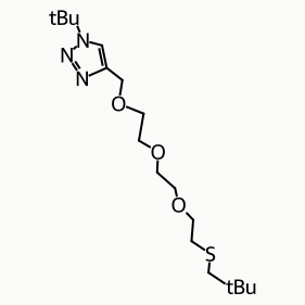 CC(C)(C)CSCCOCCOCCOCc1cn(C(C)(C)C)nn1